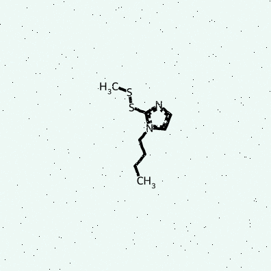 CCCCn1ccnc1SSC